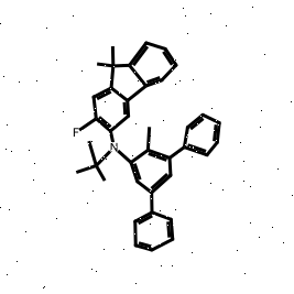 Cc1c(-c2ccccc2)cc(-c2ccccc2)cc1N(c1cc2c(cc1F)C(C)(C)c1ccccc1-2)C(C)(C)C